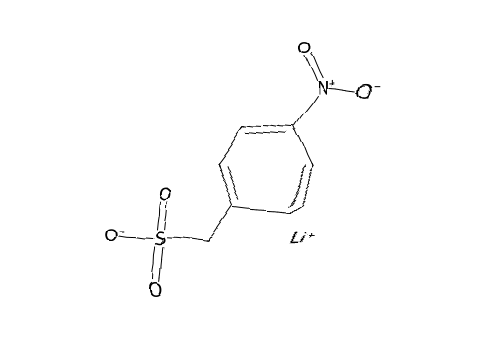 O=[N+]([O-])c1ccc(CS(=O)(=O)[O-])cc1.[Li+]